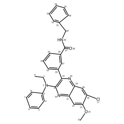 CCN(c1ccccc1)c1nc2cc(OC)c(Cl)cc2nc1-c1cccc(C(=O)NCc2ccccc2)c1